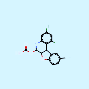 Cc1ccc2c(c1)C1c3c(Cl)cc(Cl)cc3NC(OC(=O)O)C1O2